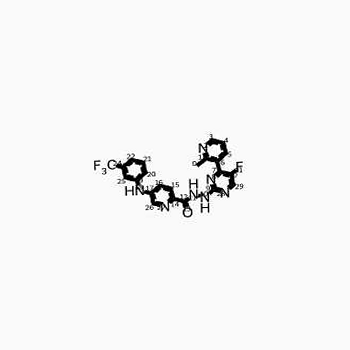 Cc1ncccc1-c1nc(NNC(=O)c2ccc(Nc3cccc(C(F)(F)F)c3)cn2)ncc1F